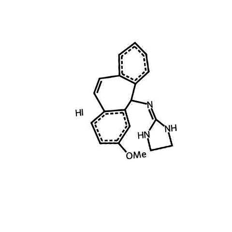 COc1ccc2c(c1)C(N=C1NCCN1)c1ccccc1C=C2.I